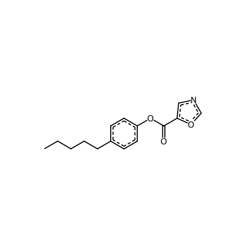 CCCCCc1ccc(OC(=O)c2cnco2)cc1